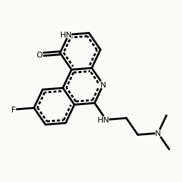 CN(C)CCNc1nc2cc[nH]c(=O)c2c2cc(F)ccc12